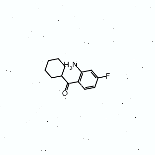 Nc1cc(F)ccc1C(=O)C1CCCCC1